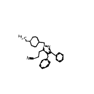 CCC1CCC(Cn2nc(-c3ccccc3)c(-c3ccccc3)c2CCC#N)CC1